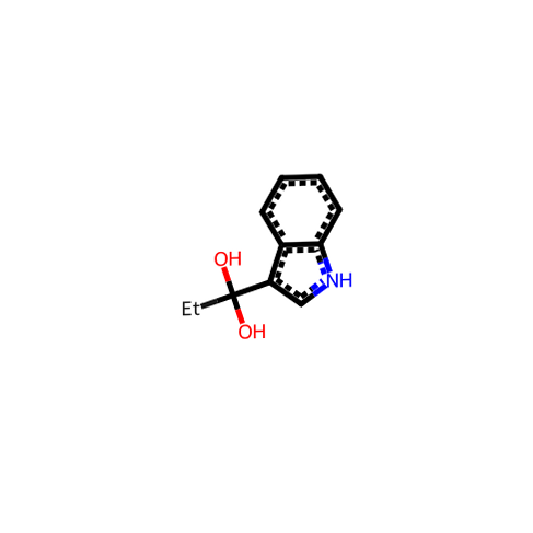 CCC(O)(O)c1c[nH]c2ccccc12